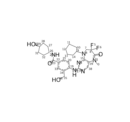 CN1C(=O)C(F)(F)CN(C2CCCCC2)c2nc(Nc3ccc(C(=O)N[C@H]4CC[C@H](O)CC4)cc3CO)ncc21